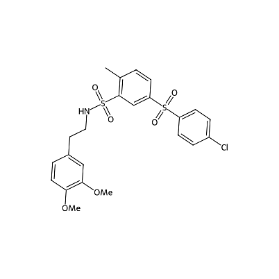 COc1ccc(CCNS(=O)(=O)c2cc(S(=O)(=O)c3ccc(Cl)cc3)ccc2C)cc1OC